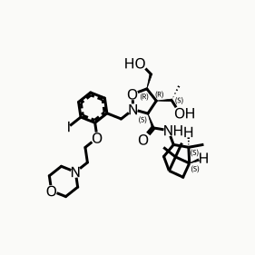 C[C@H](O)[C@@H]1[C@H](CO)ON(Cc2cccc(I)c2OCCN2CCOCC2)[C@@H]1C(=O)NC1CC2C[C@@H]([C@@H]1C)C2(C)C